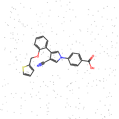 N#Cc1cn(-c2ccc(C(=O)O)cc2)cc1-c1ccccc1OCc1cccs1